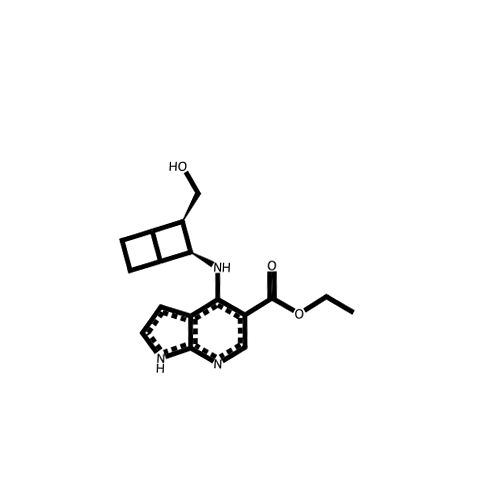 CCOC(=O)c1cnc2[nH]ccc2c1N[C@H]1C2CCC2[C@H]1CO